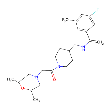 C=C(NCC1CCN(C(=O)CN2CC(C)OC(C)C2)CC1)c1cc(F)cc(C(F)(F)F)c1